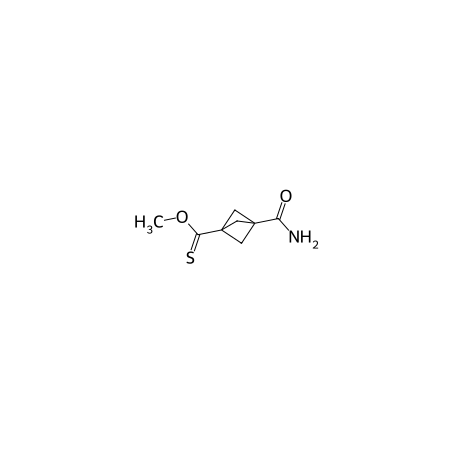 COC(=S)C12CC(C(N)=O)(C1)C2